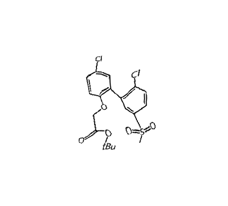 CC(C)(C)OC(=O)COc1ccc(Cl)cc1-c1cc(S(C)(=O)=O)ccc1Cl